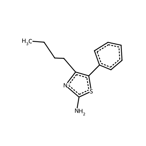 CCCCc1nc(N)sc1-c1ccccc1